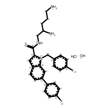 Cl.Cl.NCCCC(N)CNC(=O)c1cc2ccc(-c3ccc(F)cc3)cc2n1Cc1ccc(F)cc1